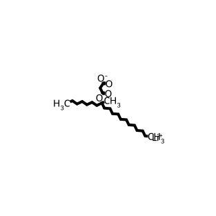 CCCCCCCCCCCCC(C)(CCCCCCC)OC(=O)CC(=O)[O-].[Li+]